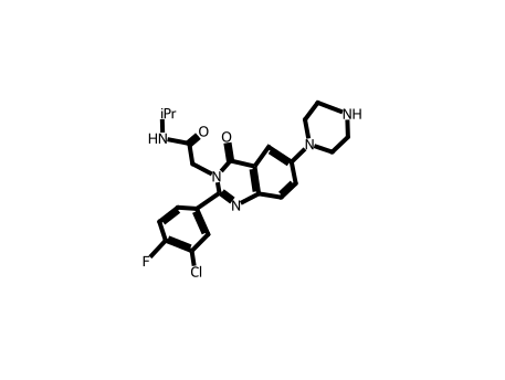 CC(C)NC(=O)Cn1c(-c2ccc(F)c(Cl)c2)nc2ccc(N3CCNCC3)cc2c1=O